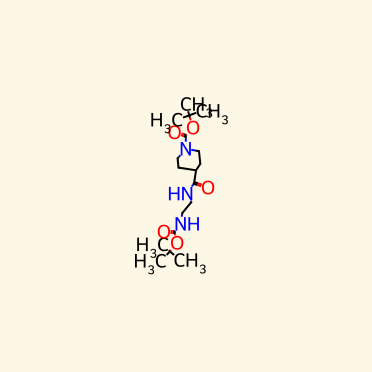 CC(C)(C)OC(=O)NCCNC(=O)C1CCN(C(=O)OC(C)(C)C)CC1